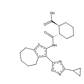 O=C(O)[C@H]1CCCC[C@@H]1C(=O)Nc1sc2c(c1-c1nc(C3CC3)no1)CCCCC2